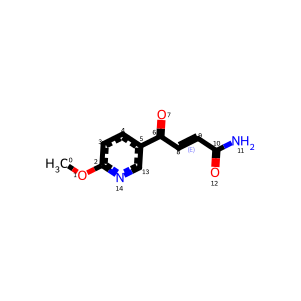 COc1ccc(C(=O)/C=C/C(N)=O)cn1